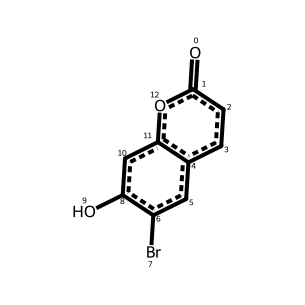 O=c1ccc2cc(Br)c(O)cc2o1